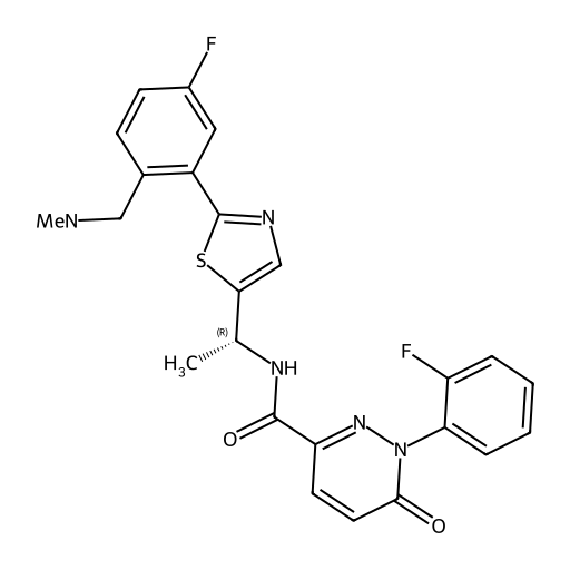 CNCc1ccc(F)cc1-c1ncc([C@@H](C)NC(=O)c2ccc(=O)n(-c3ccccc3F)n2)s1